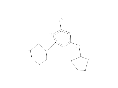 N#Cc1nc(NC2CCCC2)nc(N2CCOCC2)n1